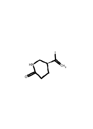 C=C(I)[C@H]1CCC(=O)NC1